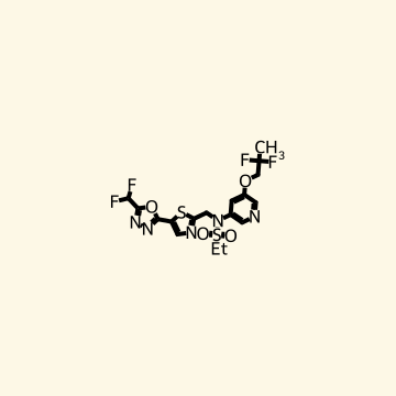 CCS(=O)(=O)N(Cc1ncc(-c2nnc(C(F)F)o2)s1)c1cncc(OCC(C)(F)F)c1